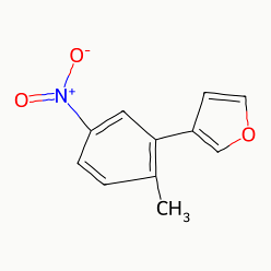 Cc1ccc([N+](=O)[O-])cc1-c1ccoc1